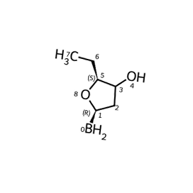 B[C@@H]1CC(O)[C@H](CC)O1